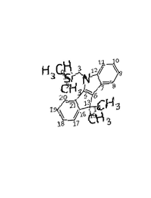 C[SiH](C)Cn1c2c(c3ccccc31)C(C)(C)c1ccccc1-2